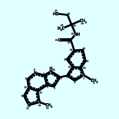 Cn1cc(-c2cc3c(ncc4cnn(C)c43)[nH]2)c2cc(C(=O)NC(C)(C)CO)ccc21